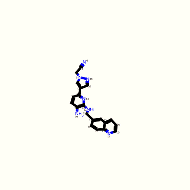 N#CCn1cc(-c2ccc(N)c(NCc3ccc4ncccc4c3)n2)cn1